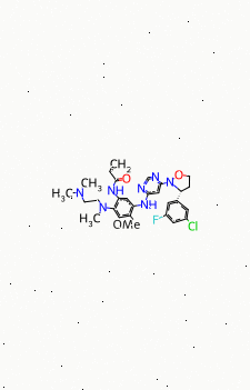 C=CC(=O)Nc1cc(Nc2cc(N3OCC[C@@H]3c3cc(F)cc(Cl)c3)ncn2)c(OC)cc1N(C)CCN(C)C